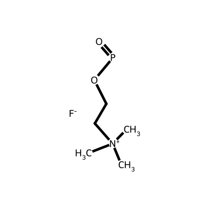 C[N+](C)(C)CCOP=O.[F-]